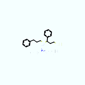 O=CNC(=O)O.SCCC(SCCCc1ccccc1)c1ccccc1